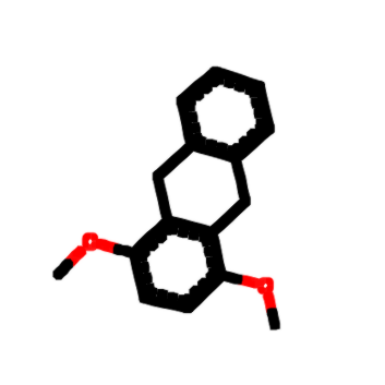 COc1ccc(OC)c2c1Cc1ccccc1C2